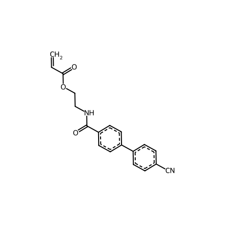 C=CC(=O)OCCNC(=O)c1ccc(-c2ccc(C#N)cc2)cc1